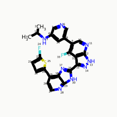 CC(C)Nc1cncc(-c2cnc3[nH]nc(-c4nc5c(-c6ccc(F)s6)ccnc5[nH]4)c3c2F)c1